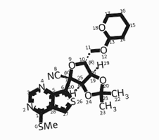 CSc1ncnc2c([C@]3(C#N)O[C@H](COC4CCCCO4)[C@H]4OC(C)(C)O[C@H]43)scc12